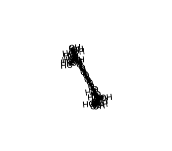 CNC(CNC(=O)CCOCCOCCOCCOCCOCCOCCOCCOCCN(C[C@H](O)[C@@H](O)[C@H](O)[C@H](O)CO)C[C@H](O)[C@@H](O)[C@H](O)[C@H](O)CO)C(=O)Nc1cc(CO)ccc1O[C@@H]1O[C@H](C(=O)O)[C@@H](O)[C@H](O)[C@H]1O